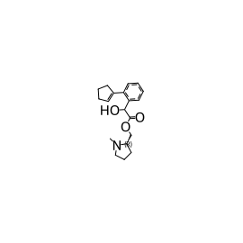 CN1CCC[C@@H]1COC(=O)C(O)c1ccccc1C1=CCCC1